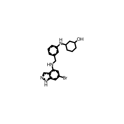 OC1CCCC(Nc2cccc(CNc3cc(Br)cc4[nH]ncc34)c2)C1